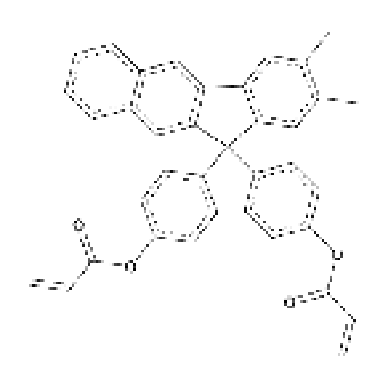 C=CC(=O)Oc1ccc(C2(c3ccc(OC(=O)C=C)cc3)c3cc(C)c(C)cc3-c3cc4ccccc4cc32)cc1